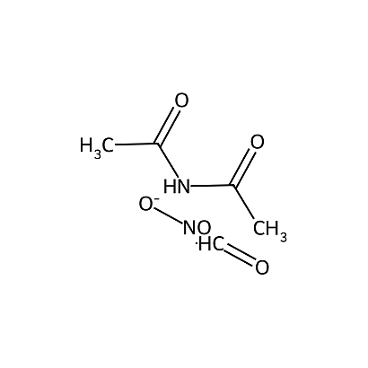 CC(=O)NC(C)=O.O=[NH+][O-].[CH]=O